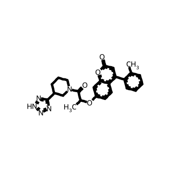 Cc1ccccc1-c1cc(=O)oc2cc(OC(C)C(=O)N3CCCC(c4nn[nH]n4)C3)ccc12